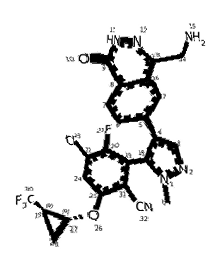 Cn1ncc(-c2ccc3c(=O)[nH]nc(CN)c3c2)c1-c1c(F)c(Cl)cc(O[C@@H]2C[C@H]2C(F)(F)F)c1C#N